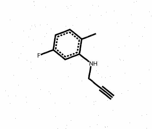 C#CCNc1cc(F)ccc1C